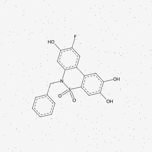 O=S1(=O)c2cc(O)c(O)cc2-c2cc(F)c(O)cc2N1Cc1ccccc1